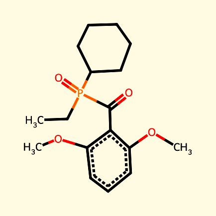 CCP(=O)(C(=O)c1c(OC)cccc1OC)C1CCCCC1